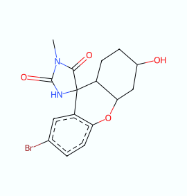 CN1C(=O)NC2(C1=O)c1cc(Br)ccc1OC1CC(O)CCC12